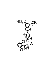 O=C(O)c1cc(OC(F)(F)F)c2nc(N3C[C@@H]4C[C@H]3C[C@H]4OCc3c(-c4c(Cl)cccc4Cl)nnn3C3CC3)sc2c1